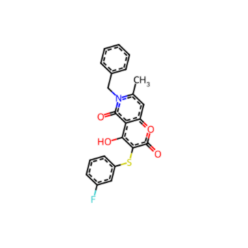 Cc1cc2oc(=O)c(Sc3cccc(F)c3)c(O)c2c(=O)n1Cc1ccccc1